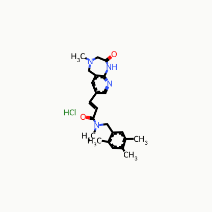 Cc1cc(C)c(CN(C)C(=O)/C=C/c2cnc3c(c2)CN(C)CC(=O)N3)cc1C.Cl